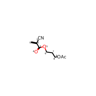 C=C(C#N)C(=O)OCCCOC(C)=O